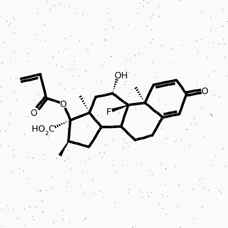 C=CC(=O)O[C@]1(C(=O)O)[C@H](C)CC2C3CCC4=CC(=O)C=C[C@]4(C)[C@@]3(F)[C@@H](O)C[C@@]21C